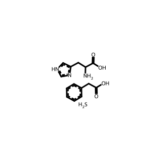 NC(Cc1c[nH]cn1)C(=O)O.O=C(O)Cc1ccccc1.S